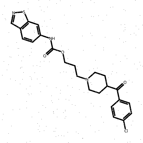 O=C(Nc1ccc2cnsc2c1)OCCCN1CCC(C(=O)c2ccc(Cl)cc2)CC1